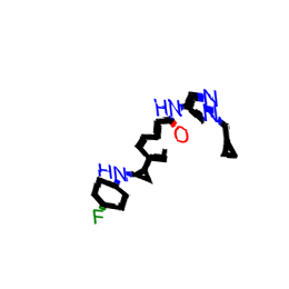 C\C=C(/C=C\C=C\C(=O)Nc1cnn(CC2CC2)c1)C1CC1NC1CCC(F)CC1